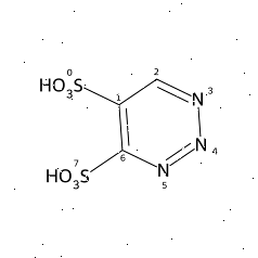 O=S(=O)(O)c1cnnnc1S(=O)(=O)O